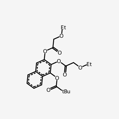 CCOCC(=O)Oc1cc2ccccc2c(OC(=O)C(C)(C)C)c1OC(=O)COCC